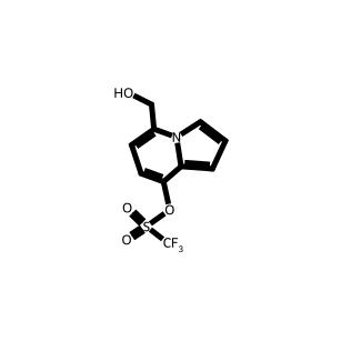 O=S(=O)(Oc1ccc(CO)n2cccc12)C(F)(F)F